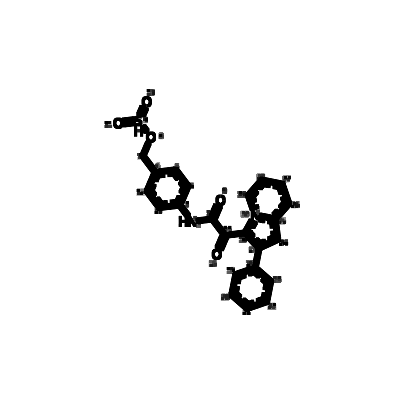 O=C(Nc1ccc(CO[SH](=O)=O)cc1)C(=O)c1c(-c2ccccc2)cc2ccccn12